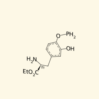 CCOC(=O)[C@@H](N)Cc1ccc(OP)c(O)c1